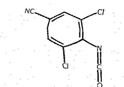 N#Cc1cc(Cl)c(N=C=O)c(Cl)c1